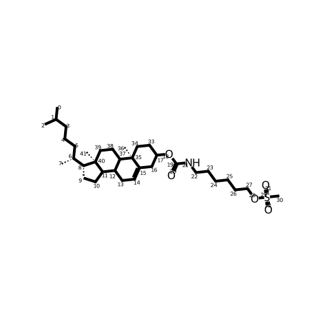 CC(C)CCC[C@@H](C)[C@H]1CCC2C3CC=C4CC(OC(=O)NCCCCCCOS(C)(=O)=O)CC[C@]4(C)C3CC[C@@]21C